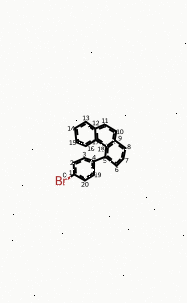 Brc1ccc(-c2cccc3ccc4ccccc4c23)cc1